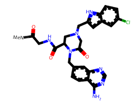 CNC(=O)CNC(=O)C1CN(Cc2cc3cc(Cl)ccc3[nH]2)CC(=O)N1Cc1ccc2c(N)ncnc2c1